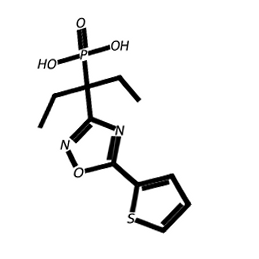 CCC(CC)(c1noc(-c2cccs2)n1)P(=O)(O)O